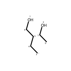 CCO.[CH2]CCCO